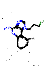 CCCCc1cccc2nc(N)c3ncn(CCCCl)c3c12